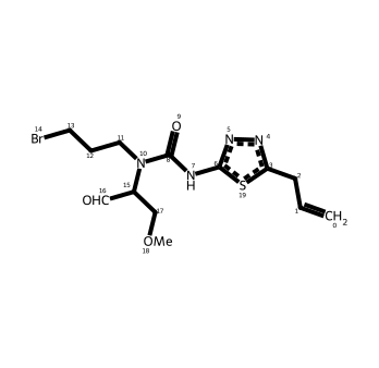 C=CCc1nnc(NC(=O)N(CCCBr)C(C=O)COC)s1